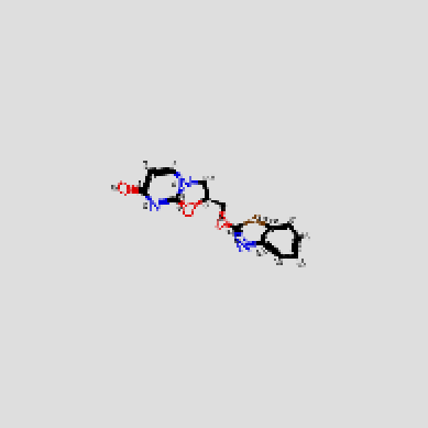 O=c1ccn2c(n1)O[C@H](COc1nc3ccccc3s1)C2